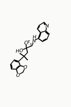 CC(C)(CC(O)(CNc1cccc2ncccc12)C(F)(F)F)c1cccc2c1OCO2